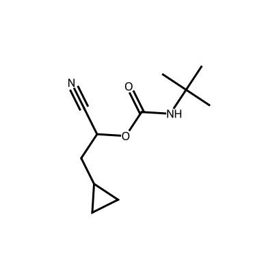 CC(C)(C)NC(=O)OC(C#N)CC1CC1